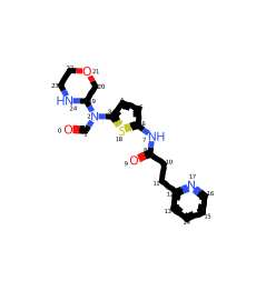 O=CN(c1ccc(NC(=O)CCc2ccccn2)s1)C1COCCN1